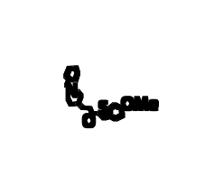 COc1ccc2cc(C(=O)CCC3CCN(Cc4ccccc4)CC3)sc2c1